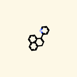 C1=C(c2ccccn2)c2cccc3cccc(c23)C1